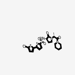 C[C@H](C(=O)N1CCCCC1)N1CC[C@H](NS(=O)(=O)c2ccc(-c3ccc(Cl)s3)s2)C1=O